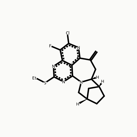 C=C1C[C@@H]2[C@@H]3CC[C@@H](C3)CN2c2nc(SCC)nc3c(F)c(Cl)nc1c23